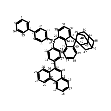 c1ccc(-c2ccc(N(c3ccc(-c4cc5ccccc5c5ccccc45)cc3)c3cccc4c3-c3ccccc3C43C4CC5CC(C4)CC3C5)cc2)cc1